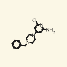 Nc1cc(N2CCN(Cc3ccccc3)CC2)cc(Cl)n1